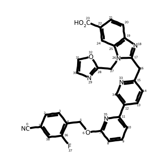 N#Cc1ccc(COc2cccc(-c3ccc(Cc4nc5ccc(C(=O)O)cc5n4Cc4ncco4)nc3)n2)c(F)c1